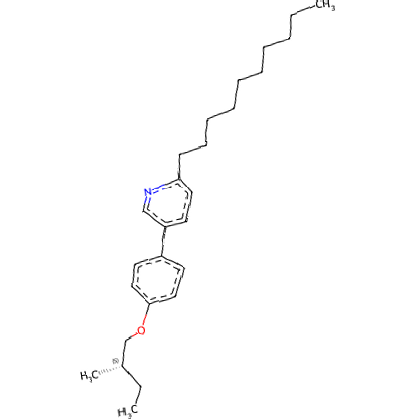 CCCCCCCCCCc1ccc(-c2ccc(OC[C@@H](C)CC)cc2)cn1